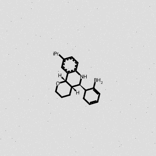 BC1=CC=CCC1[C@@H]1Nc2ccc(C(C)C)cc2[C@H]2OCCC[C@H]21